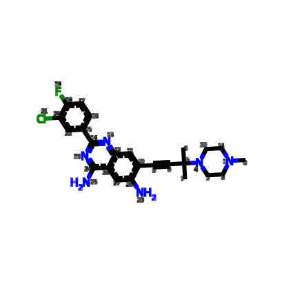 CN1CCN(C(C)(C)C#Cc2cc3nc(-c4ccc(F)c(Cl)c4)nc(N)c3cc2N)CC1